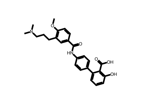 COc1ccc(C(=O)Nc2ccc(-c3cccc(O)c3C(=O)O)cc2)cc1CCCN(C)C